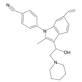 C=Cc1ccc2c(C(O)CN3CCCCC3)c(C)n(-c3ccc(C#N)cc3)c2c1